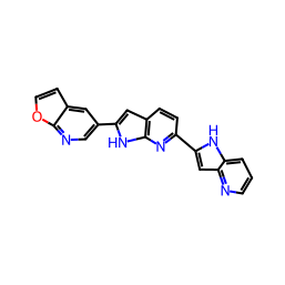 c1cnc2cc(-c3ccc4cc(-c5cnc6occc6c5)[nH]c4n3)[nH]c2c1